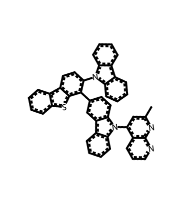 Cc1cc(-n2c3ccccc3c3cc(-c4c(-n5c6ccccc6c6ccccc65)ccc5c4sc4ccccc45)ccc32)c2cccnc2n1